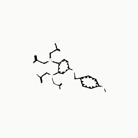 COc1ccc(COc2ccc(N(CC(=O)O)CC(=O)O)c(N(CC(=O)O)CC(=O)O)c2)cc1